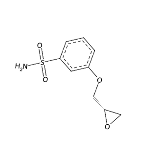 NS(=O)(=O)c1cccc(OC[C@@H]2CO2)c1